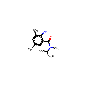 CC(C(=O)O)N(C)C(=O)c1cc(C(F)(F)F)cc([N+](=O)[O-])c1N